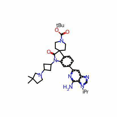 CC(C)n1cnc2cc(-c3ccc4c(c3)N(C3CC(N5CCC(C)(C)C5)C3)C(=O)C43CCN(C(=O)OC(C)(C)C)CC3)nc(N)c21